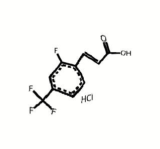 Cl.O=C(O)C=Cc1ccc(C(F)(F)F)cc1F